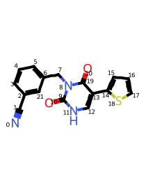 N#Cc1cccc(Cn2c(=O)[nH]cc(-c3cccs3)c2=O)c1